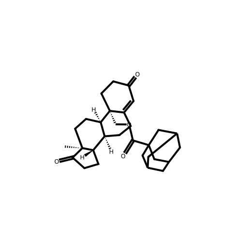 C[C@]12CC[C@@H]3[C@@H](CCC4=CC(=O)CC[C@@]43COC(=O)C34CC5CC(CC(C5)C3)C4)[C@@H]1CCC2=O